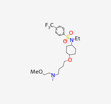 CCN(C1CCC(OCCCCN(C)CCOC)CC1)S(=O)(=O)c1ccc(C(F)(F)F)cc1